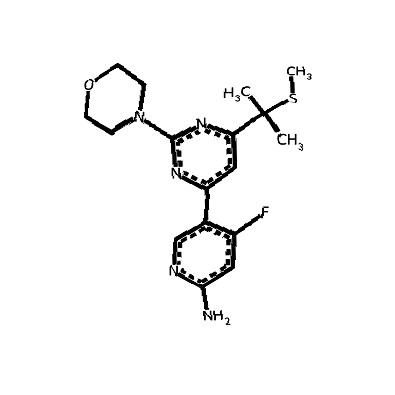 CSC(C)(C)c1cc(-c2cnc(N)cc2F)nc(N2CCOCC2)n1